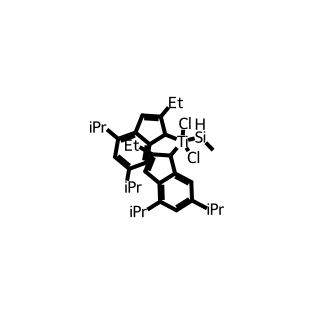 CCC1=Cc2c(C(C)C)cc(C(C)C)cc2[CH]1[Ti]([Cl])([Cl])([CH]1C(CC)=Cc2c(C(C)C)cc(C(C)C)cc21)[SiH](C)C